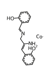 NC(=Cc1ccccc1O)CN=Cc1ccccc1O.[Co]